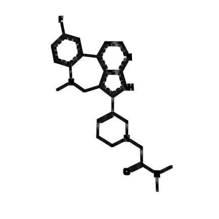 CN(C)C(=O)CN1CCC=C(c2[nH]c3nccc4c3c2CN(C)c2ccc(F)cc2-4)C1